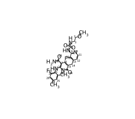 COCCNS(=O)(=O)Nc1nccc(Cc2cc(C(N)=O)c(Nc3ccc(C)cc3F)n(C)c2=O)c1F